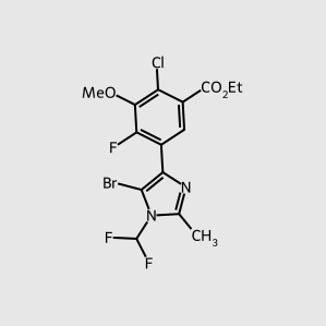 CCOC(=O)c1cc(-c2nc(C)n(C(F)F)c2Br)c(F)c(OC)c1Cl